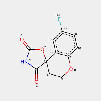 O=C1NC(=O)C2(CCOc3ccc(F)cc32)O1